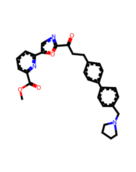 COC(=O)c1cccc(-c2cnc(C(=O)CCc3ccc(-c4ccc(CN5CCCC5)cc4)cc3)o2)n1